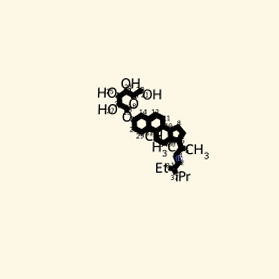 CCC(/C=C/C(C)C1CCC2C3CC=C4CC(O[C@@H]5OC(CO)[C@@H](O)C(O)C5O)CCC4(C)C3CCC12C)C(C)C